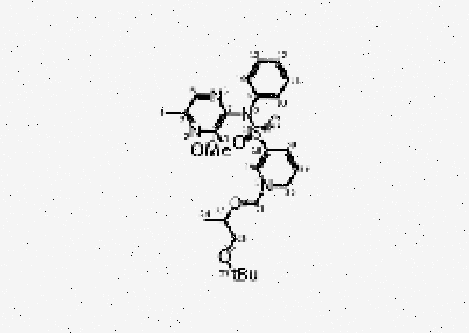 COc1nc(C)cnc1N(c1ccccc1)S(=O)(=O)C1=CN(COC(C)COC(C)(C)C)CC=C1